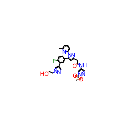 Cc1cccc(-n2nc(CC(=O)Nc3cnn(S(C)(=O)=O)c3)cc2-c2ccc(F)c(-c3cnn(CCO)c3)c2)n1